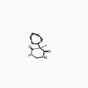 CC1(c2ccccc2)C(=O)NCNC1=O